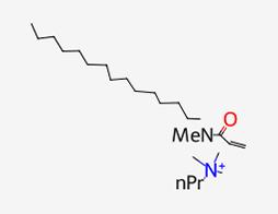 C=CC(=O)NC.CCCCCCCCCCCCCCC.CCC[N+](C)(C)C